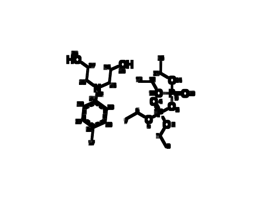 CCOP(=O)(OCC)OP(=O)(OCC)OCC.Cc1ccc(N(CCO)CCO)cc1